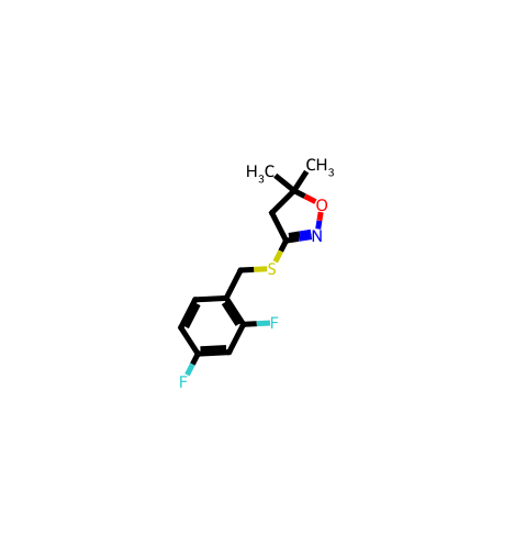 CC1(C)CC(SCc2ccc(F)cc2F)=NO1